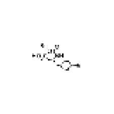 CC(C)(C)OC(=O)NC(CC(=O)O)Cc1ccc(Br)cc1